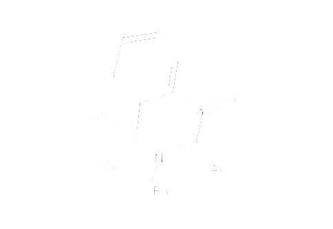 CCCCN1C(C(C)=O)C(=O)c2ccccc2S1(=O)=O